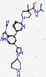 CC(C)NC(=O)C1(C)CCN(c2ccc(-c3cc(-c4cnn(C5CCNCC5)c4)cn4ncc(C#N)c34)cn2)CC1